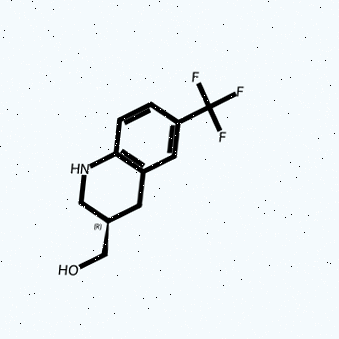 OC[C@H]1CNc2ccc(C(F)(F)F)cc2C1